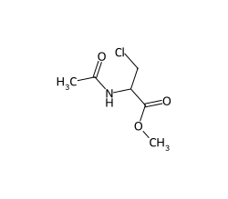 COC(=O)C(CCl)NC(C)=O